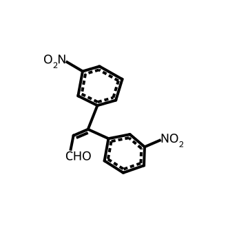 O=CC=C(c1cccc([N+](=O)[O-])c1)c1cccc([N+](=O)[O-])c1